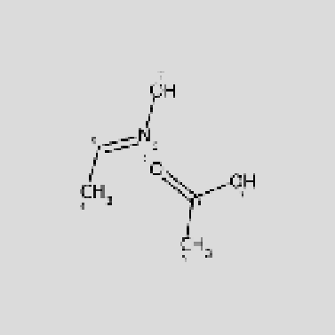 CC(=O)O.CC=NO